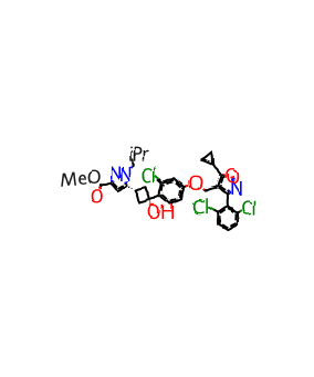 COC(=O)c1cc([C@H]2C[C@](O)(c3ccc(OCc4c(-c5c(Cl)cccc5Cl)noc4C4CC4)cc3Cl)C2)n(CC(C)C)n1